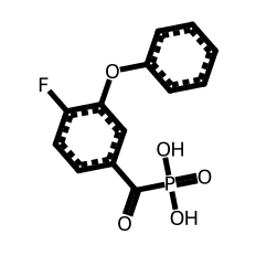 O=C(c1ccc(F)c(Oc2ccccc2)c1)P(=O)(O)O